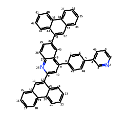 c1cncc(-c2ccc(-c3cc(-c4cc5ccccc5c5ccccc45)nc4ccc(-c5cc6ccccc6c6ccccc56)cc34)cc2)c1